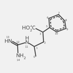 CC(CC(C(=O)O)c1ccccc1)NC(=N)N